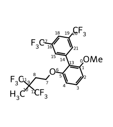 COc1cccc(OCCC(C)(C(F)(F)F)C(F)(F)F)c1-c1cc(C(F)(F)F)cc(C(F)(F)F)c1